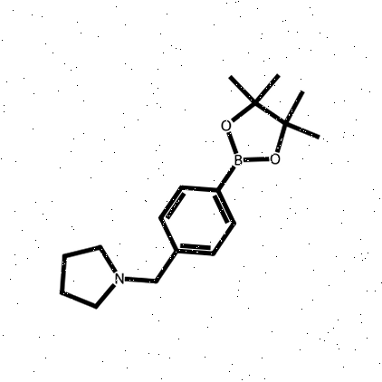 CC1(C)OB(c2ccc(CN3CCCC3)cc2)OC1(C)C